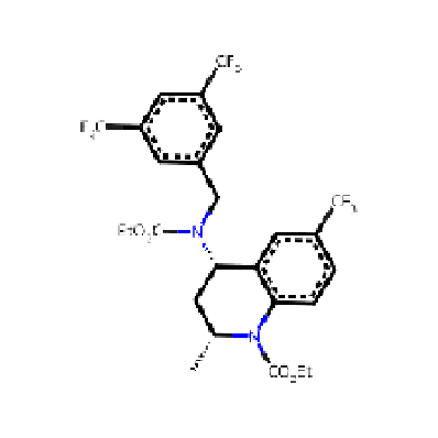 CCOC(=O)N(Cc1cc(C(F)(F)F)cc(C(F)(F)F)c1)[C@H]1C[C@@H](C)N(C(=O)OCC)c2ccc(C(F)(F)F)cc21